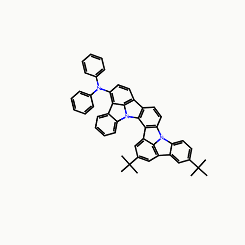 CC(C)(C)c1ccc2c(c1)c1cc(C(C)(C)C)cc3c4c(ccc5c6ccc(N(c7ccccc7)c7ccccc7)c7c8ccccc8n(c67)c54)n2c13